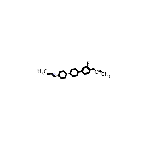 CC/C=C/[C@H]1CC[C@H](C2CCC(c3ccc(COCC)c(F)c3)CC2)CC1